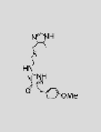 COc1ccc(Cc2n[nH]c(NCCSCc3nc[nH]c3C)nc2=O)cc1